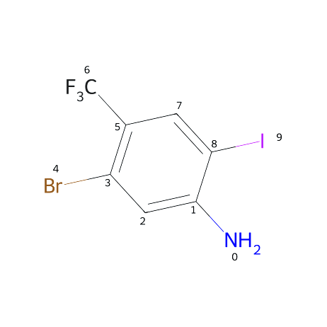 Nc1cc(Br)c(C(F)(F)F)cc1I